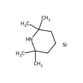 CC1(C)CCCC(C)(C)N1.[Si]